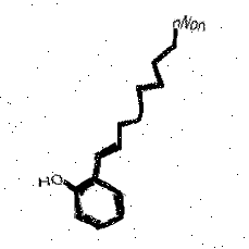 CCCCCCCCCCCCCCCC=Cc1[c]cccc1O